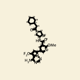 COc1ncc(-c2cc(C(F)(F)F)c3c(N)ncnn23)cc1C(=O)N[C@@H]1CN(C(=O)CC2CCCCC2)C[C@@H]1F